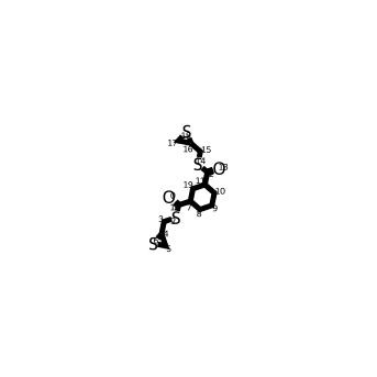 O=C(SCC1CS1)C1CCCC(C(=O)SCC2CS2)C1